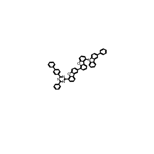 c1ccc(-c2ccc(-c3nc(-c4ccccc4)nc(-c4cccc5c4oc4ccc(-c6cccc7c6oc6cccc(-n8c9ccccc9c9cc(-c%10ccccc%10)ccc98)c67)cc45)n3)cc2)cc1